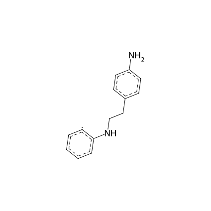 Nc1ccc(CCNc2[c]cccc2)cc1